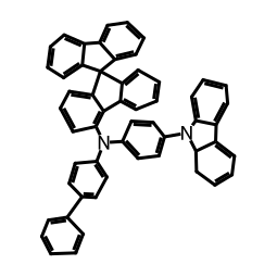 C1=CCC2C(=C1)c1ccccc1N2c1ccc(N(c2ccc(-c3ccccc3)cc2)c2cccc3c2-c2ccccc2C32c3ccccc3-c3ccccc32)cc1